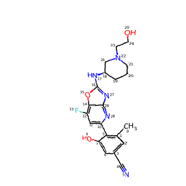 Cc1cc(C#N)cc(O)c1-c1cc(F)c2oc(N[C@@H]3CCCN(CCO)C3)nc2n1